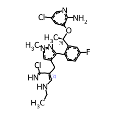 CCN/C=C(/Cc1cn(C)nc1-c1ccc(F)cc1[C@@H](C)Oc1cc(Cl)cnc1N)C(=N)Cl